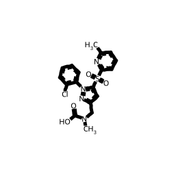 Cc1cccc(S(=O)(=O)c2cc(CN(C)C(=O)O)nn2-c2ccccc2Cl)n1